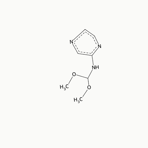 COC(Nc1cnccn1)OC